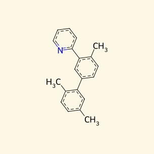 Cc1ccc(C)c(-c2ccc(C)c(-c3ccccn3)c2)c1